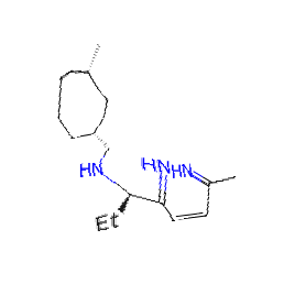 CC[C@@H](NC[C@@H]1CCC[C@H](C)C1)C(=N)/C=C\C(C)=N